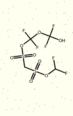 O=S(=O)(CS(=O)(=O)OC(F)(F)OC(O)(F)F)OC(F)F